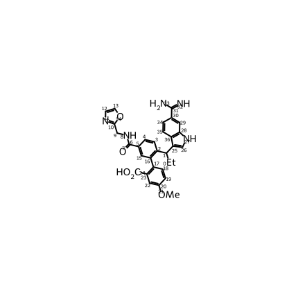 CCC(c1ccc(C(=O)NCc2ncco2)cc1-c1ccc(OC)cc1C(=O)O)c1c[nH]c2cc(C(=N)N)ccc12